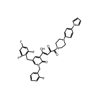 O=C(/C=C(\O)c1cc(Cc2c(F)cc(F)cc2F)cn(Cc2ccccc2F)c1=O)C(=O)N1CCN(c2ccc(-n3cccc3)cc2)CC1